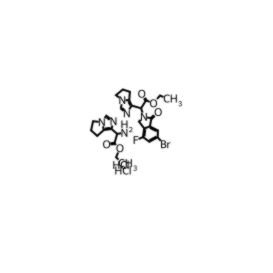 CCOC(=O)C(N)c1ncn2c1CCC2.CCOC(=O)C(c1ncn2c1CCC2)N1Cc2c(F)cc(Br)cc2C1=O.Cl.Cl